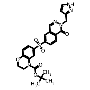 CC(C)(C)OC(=O)N1CCOc2ccc(S(=O)(=O)c3ccc4c(=O)n(Cc5cc[nH]n5)ncc4c3)cc21